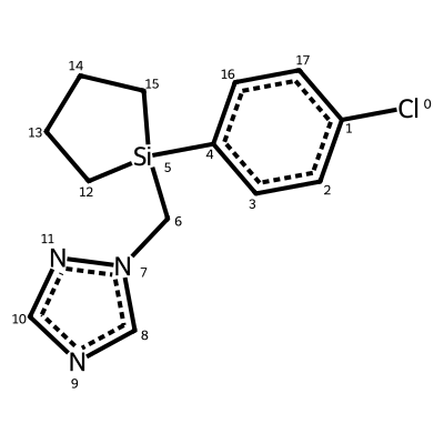 Clc1ccc([Si]2(Cn3cncn3)CCCC2)cc1